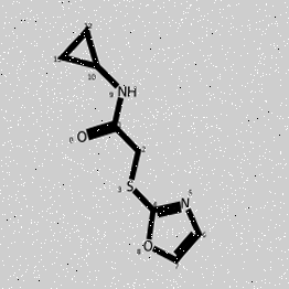 O=C(CSc1ncco1)NC1CC1